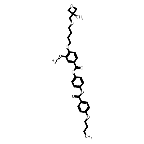 CCCCOc1ccc(C(=O)Oc2ccc(OC(=O)c3ccc(OCCCCOCC4(C)COC4)c(OC)c3)cc2)cc1